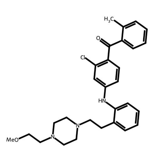 COCCN1CCN(CCc2ccccc2Nc2ccc(C(=O)c3ccccc3C)c(Cl)c2)CC1